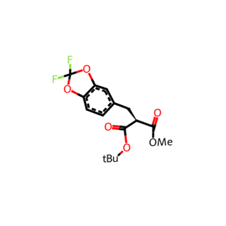 COC(=O)[C@H](Cc1ccc2c(c1)OC(F)(F)O2)C(=O)OC(C)(C)C